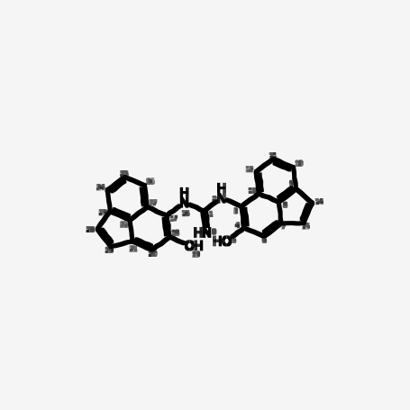 N=C(Nc1c(O)cc2c3c(cccc13)C=C2)Nc1c(O)cc2c3c(cccc13)C=C2